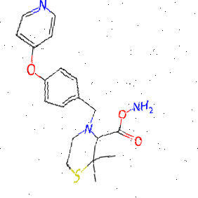 CC1(C)SCCN(Cc2ccc(Oc3ccncc3)cc2)C1C(=O)ON